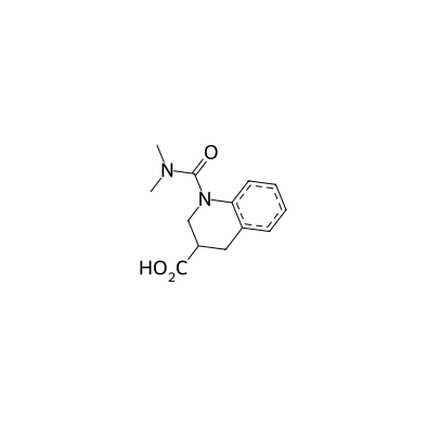 CN(C)C(=O)N1CC(C(=O)O)Cc2ccccc21